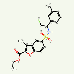 CCOC(=O)c1oc2ccc(S(=O)(=O)NC(CF)c3cccc(C)c3)cc2c1C